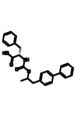 CC(Cc1ccc(-c2ccccc2)cc1)OC(=O)N[C@@H](Cc1ccccc1)C(=O)O